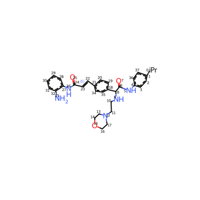 CC(C)c1ccc(NC(=O)C(NCCN2CCOCC2)c2ccc(/C=C/C(=O)Nc3ccccc3N)cc2)cc1